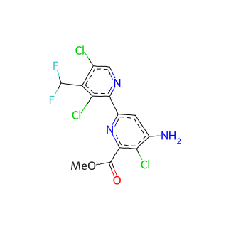 COC(=O)c1nc(-c2ncc(Cl)c(C(F)F)c2Cl)cc(N)c1Cl